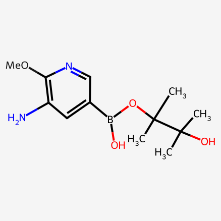 COc1ncc(B(O)OC(C)(C)C(C)(C)O)cc1N